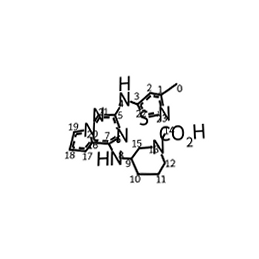 Cc1cc(Nc2nc(NC3CCCN(C(=O)O)C3)c3cccn3n2)sn1